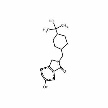 CC(C)(O)C1CCC(CN2Cc3ccc(O)cc3C2=O)CC1